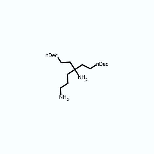 CCCCCCCCCCCCC(N)(CCCN)CCCCCCCCCCCC